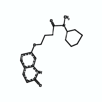 CN(C(=O)CCCOc1ccc2ccc(=O)[nH]c2c1)C1CCCCC1